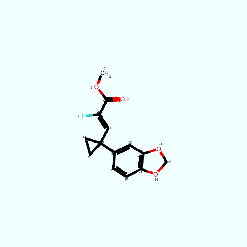 COC(=O)C(F)=CC1(c2ccc3c(c2)OCO3)CC1